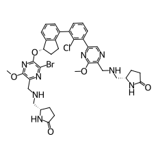 COc1nc(-c2cccc(-c3cccc4c3CC[C@@H]4Oc3nc(OC)c(CNC[C@@H]4CCC(=O)N4)nc3Br)c2Cl)cnc1CNC[C@@H]1CCC(=O)N1